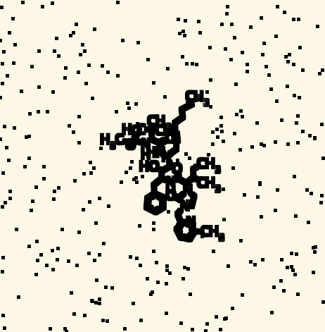 CCCCCC#CCN(CC(O)C(Cc1ccccc1)NC(=O)C(C(C)CC)N1CCN(Cc2cccc(C)n2)C1=O)NC(=O)C(NC(=O)OC)C(C)(C)C